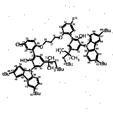 CC(C)(C)CC(C)(C)c1cc(-c2cc(F)ccc2OCCCOc2ccc(Cl)cc2-c2cc(C(C)(C)CC(C)(C)C)cc(-n3c4ccc(C(C)(C)C)cc4c4cc(C(C)(C)C)ccc43)c2O)c(O)c(-n2c3ccc(C(C)(C)C)cc3c3cc(C(C)(C)C)ccc32)c1